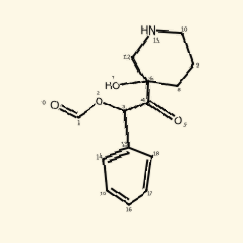 O=COC(C(=O)C1(O)CCCNC1)c1ccccc1